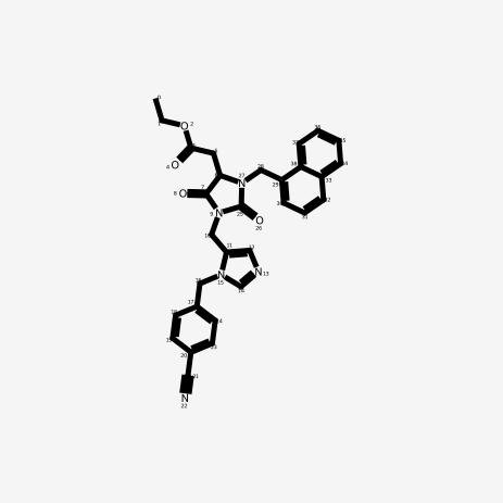 CCOC(=O)CC1C(=O)N(Cc2cncn2Cc2ccc(C#N)cc2)C(=O)N1Cc1cccc2ccccc12